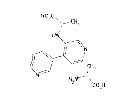 C[C@@H](N)C(=O)O.C[C@H](Nc1cnccc1-c1cccnc1)C(=O)O